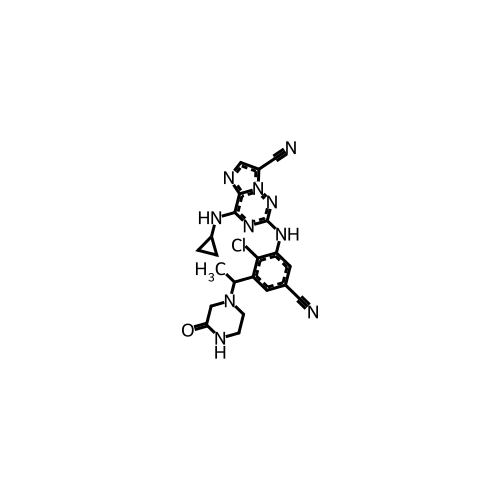 CC(c1cc(C#N)cc(Nc2nc(NC3CC3)c3ncc(C#N)n3n2)c1Cl)N1CCNC(=O)C1